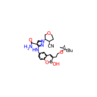 CC(C)(C)[Si](C)(C)OCCC1=Cc2cc(Nc3nn([C@@H]4COCC[C@H]4C#N)cc3C(N)=O)ccc2OB1O